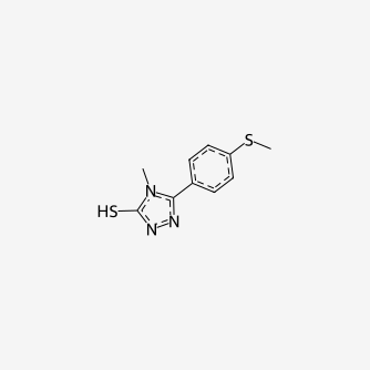 CSc1ccc(-c2nnc(S)n2C)cc1